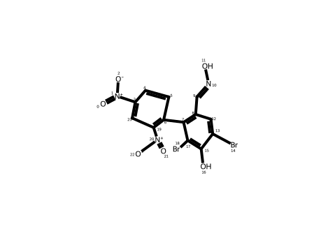 O=[N+]([O-])c1ccc(-c2c(/C=N/O)cc(Br)c(O)c2Br)c([N+](=O)[O-])c1